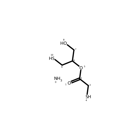 N.O=C(CS)OC(CO)CS